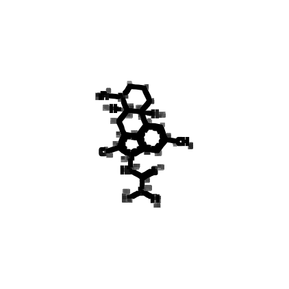 CCCN1CCC[C@@H]2c3cc(C)cc4c3c(c(Cl)n4NC(=S)N(CC)CC)C[C@H]21